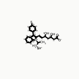 CC(C)n1c(C=CC(O)CC(O)CC(=O)[O-])c(-c2ccc(F)cc2)c2ccccc21.[Na+]